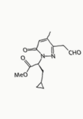 COC(=O)[C@H](CC1CC1)n1nc(CC=O)c(C)cc1=O